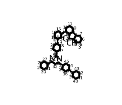 CC1(C)c2ccccc2-c2cccc(-c3cccc(-c4ccc(-c5nc(-c6ccccc6)cc(-c6ccc(-c7ccccc7)cc6)n5)cc4)c3)c21